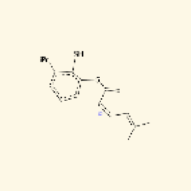 C=C(/C=C\C=C(C)C)Sc1cccc(C(C)C)c1S